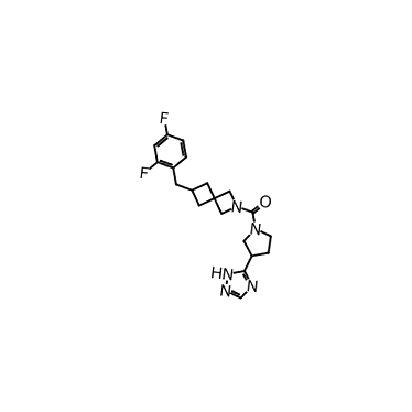 O=C(N1CCC(c2ncn[nH]2)C1)N1CC2(CC(Cc3ccc(F)cc3F)C2)C1